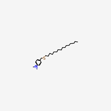 CCCCCCCCCCCCCCCCSCc1ccc(N(C)C)cc1